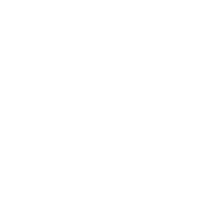 OC12CC3CC(CC(C3)C1=COCc1ccccc1)C2